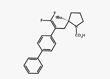 CC(C)(C)[C@]1(CC(=C(F)F)c2ccc(-c3ccccc3)cc2)CCCN1C(=O)O